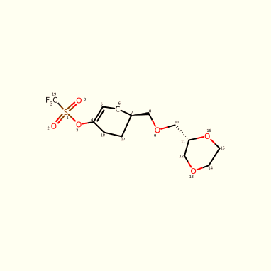 O=S(=O)(OC1=CC[C@@H](COC[C@H]2COCCO2)CC1)C(F)(F)F